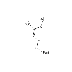 [2H]OC(=CCCCCCCC)C(=O)O